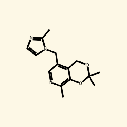 Cc1ncc(Cn2ccnc2C)c2c1OC(C)(C)OC2